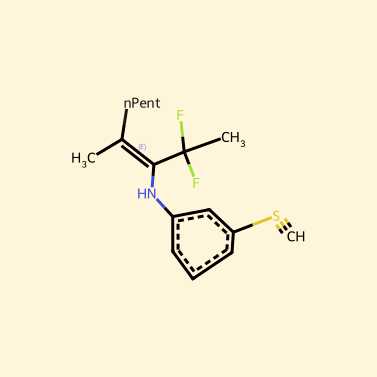 C#Sc1cccc(N/C(=C(\C)CCCCC)C(C)(F)F)c1